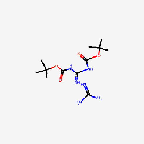 CC(C)(C)OC(=O)NC(=N)NC(=O)OC(C)(C)C.N=C(N)N